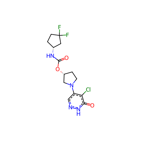 O=C(N[C@@H]1CCC(F)(F)C1)O[C@@H]1CCN(c2cn[nH]c(=O)c2Cl)C1